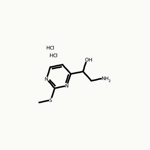 CSc1nccc(C(O)CN)n1.Cl.Cl